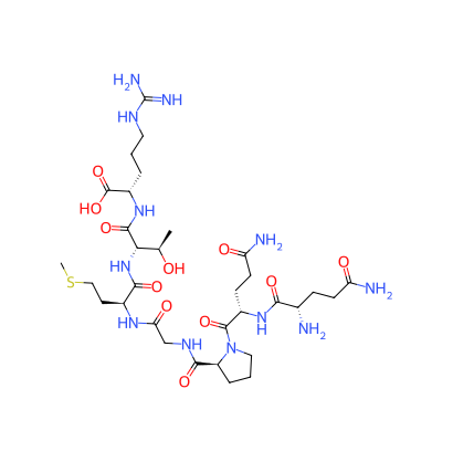 CSCC[C@H](NC(=O)CNC(=O)[C@@H]1CCCN1C(=O)[C@H](CCC(N)=O)NC(=O)[C@@H](N)CCC(N)=O)C(=O)N[C@H](C(=O)N[C@@H](CCCNC(=N)N)C(=O)O)[C@@H](C)O